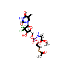 Cc1cn([C@@H]2O[C@H](CO[P@@](=O)(N[C@@H](C)C(=O)OC(C)C)OCCSC(=O)C(C)(C)C)[C@@H](O)C2(Cl)Cl)c(=O)[nH]c1=O